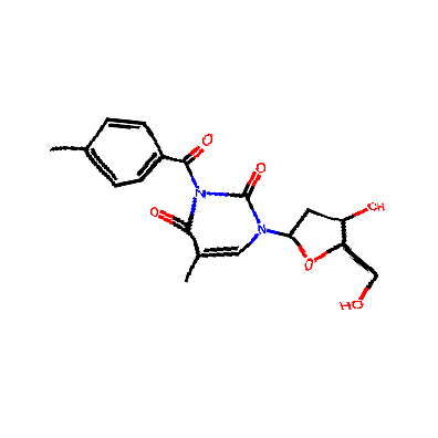 Cc1ccc(C(=O)n2c(=O)c(C)cn(C3CC(O)C(CO)O3)c2=O)cc1